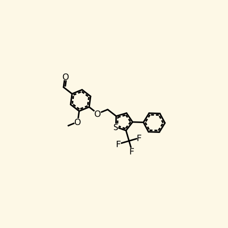 COc1cc(C=O)ccc1OCc1cc(-c2ccccc2)c(C(F)(F)F)s1